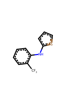 FC(F)(F)c1ccccc1Nc1cccs1